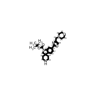 CC(C)(C)OC(=O)N1CC2(CCNCC2)c2ccc(-c3nc(CN4CCOCC4)co3)cc21